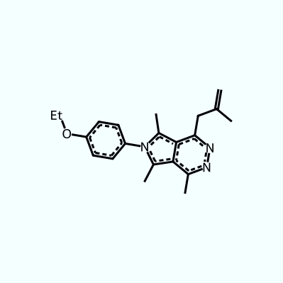 C=C(C)Cc1nnc(C)c2c(C)n(-c3ccc(OCC)cc3)c(C)c12